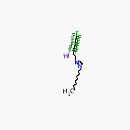 CCCCCCCCCCN1C=CN(CCCC(F)(F)C(F)(F)C(F)(F)C(F)(F)C(F)(F)C(F)(F)F)C1.I